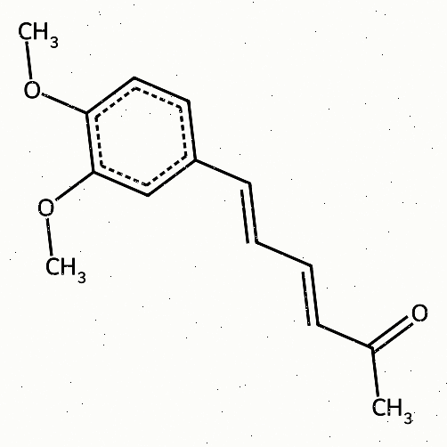 COc1ccc(C=CC=CC(C)=O)cc1OC